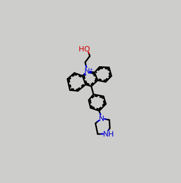 OCC[n+]1c2ccccc2c(-c2ccc(N3CCNCC3)cc2)c2ccccc21